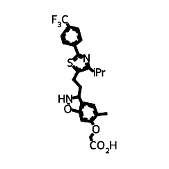 Cc1cc2c(cc1OCC(=O)O)ONC2CCc1sc(-c2ccc(C(F)(F)F)cc2)nc1C(C)C